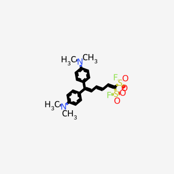 CN(C)c1ccc(C(=CC=CC=C(S(=O)(=O)F)S(=O)(=O)F)c2ccc(N(C)C)cc2)cc1